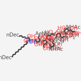 CCCCCCCCCCCCC/C=C/[C@@H](O)[C@H](CO[C@@H]1OC(CO)[C@@H](O[C@@H]2OC(CO)[C@H](O[C@@H]3OC(CO)[C@H](O)[C@H](O)C3NC(C)=O)[C@H](O[C@]3(C(=O)O)CC(O)[C@@H](NC(C)=O)C([C@H](O)[C@@H](CO)O[C@]4(C(=O)O)CC(O)[C@@H](NC(C)=O)C([C@H](O)[C@@H](CO)O[C@]5(C(=O)O)CC(O)[C@@H](NC(C)=O)C([C@H](O)[C@H](O)CO)O5)O4)O3)C2O)[C@H](O)C1O)NC(=O)CCCCCCCCCCCCCCCCCCCCC